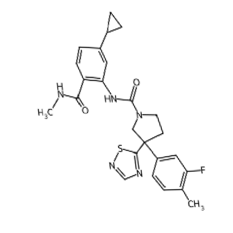 CNC(=O)c1ccc(C2CC2)cc1NC(=O)N1CCC(c2ccc(C)c(F)c2)(c2ncns2)C1